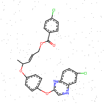 CC(C=CCOC(=O)c1ccc(Cl)cc1)Oc1ccc(Oc2cnc3cc(Cl)ccc3n2)cc1